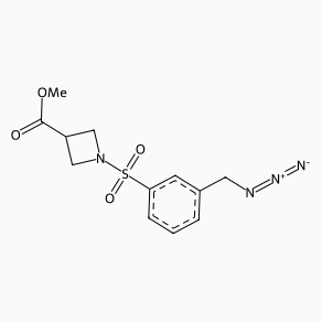 COC(=O)C1CN(S(=O)(=O)c2cccc(CN=[N+]=[N-])c2)C1